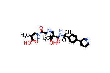 C=C(/N=C\C(C(=O)NC(C)(C)c1ccc(-c2cccnc2)cc1)=C(/C)O)C(=O)NCC(C)C(=O)O